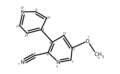 COc1cnc(C#N)c(-c2ccncc2)c1